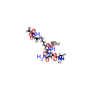 Cc1cc(C(=O)O[C@@H]2C[C@@H](C(N)=O)N(C(=O)[C@H](CCCCC/C=C\[C@@H]3C[C@@H]3C(=O)NS(=O)(=O)C3CC3)NC(=O)OC(C)(C)C)C2)n(C)n1